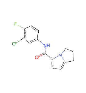 O=C(Nc1ccc(F)c(Cl)c1)c1ccc2n1CCC2